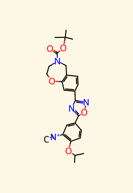 [C-]#[N+]c1cc(-c2nc(-c3ccc4c(c3)OCCN(C(=O)OC(C)(C)C)C4)no2)ccc1OC(C)C